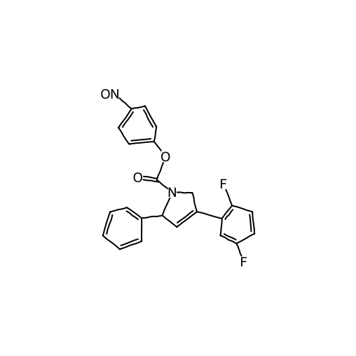 O=Nc1ccc(OC(=O)N2CC(c3cc(F)ccc3F)=CC2c2ccccc2)cc1